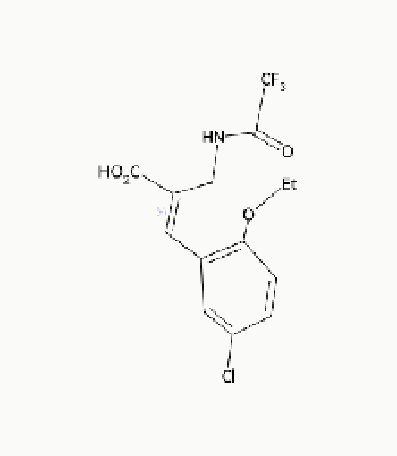 CCOc1ccc(Cl)cc1/C=C(\CNC(=O)C(F)(F)F)C(=O)O